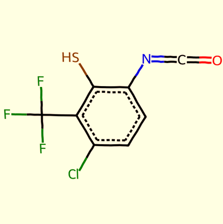 O=C=Nc1ccc(Cl)c(C(F)(F)F)c1S